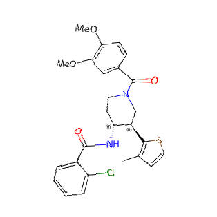 COc1ccc(C(=O)N2CC[C@@H](NC(=O)c3ccccc3Cl)[C@H](c3sccc3C)C2)cc1OC